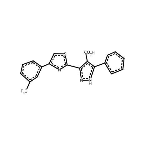 O=C(O)c1c(-c2nc(-c3cccc(C(F)(F)F)c3)cs2)n[nH]c1-c1ccccc1